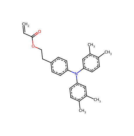 C=CC(=O)OCCc1ccc(N(c2ccc(C)c(C)c2)c2ccc(C)c(C)c2)cc1